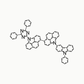 c1ccc(-c2nc(-c3ccccc3)nc(-n3c4cccc5ccc6c(-c7ccc8c9c7ccc7cccc(c79)n8-c7ccc8c(c7)c7ccccc7n8-c7ccccc7)ccc3c6c54)n2)cc1